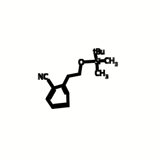 CC(C)(C)[Si](C)(C)OCCc1ccccc1C#N